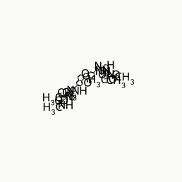 CNC(=O)O[C@H](C(=O)N1CCC[C@H]1c1ncc(-c2ccc3c(ccc4oc5cc(-c6cnc(C7CCCN7C(=O)C(NC(=O)OC)C(C)C)[nH]6)ccc5c(=O)c43)c2)[nH]1)C(C)C